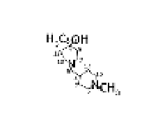 CN1CCC(CN2CCC(C)(O)CC2)CC1